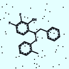 Cc1ccccc1SN(Cc1ccccc1)c1ccc(F)c(F)c1O